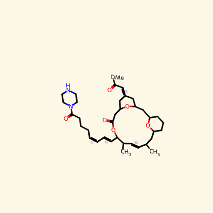 COC(=O)/C=C1\CC2CC(=O)OC(/C=C/C=C\CCCC(=O)N3CCNCC3)C(C)/C=C/C(C)CC3CCCC(CC(C1)O2)O3